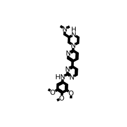 COc1cc(Nc2nccc(-c3ccc(N4CCNC(CN(C)C)C4)nc3)n2)cc(OC)c1OC